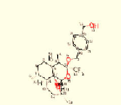 C[C@@H]1CC[C@H]2[C@@H](C)[C@](OCc3ccc(CO)cc3)(C(F)(F)F)O[C@@H]3O[C@]4(C)CC[C@@H]1C32OO4